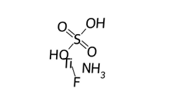 N.O=S(=O)(O)O.[F][Ti]